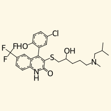 CC(C)CN(C)CCCC(O)CSc1c(-c2cc(Cl)ccc2O)c2cc(C(F)(F)F)ccc2[nH]c1=O